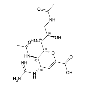 CC(=O)NC[C@@H](O)[C@@H](O)[C@@H]1OC(C(=O)O)=C[C@H](NC(=N)N)[C@H]1NC(C)=O